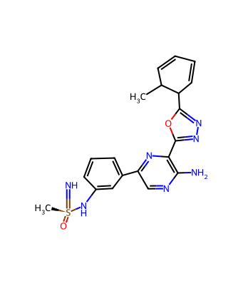 CC1C=CC=CC1c1nnc(-c2nc(-c3cccc(N[S@@](C)(=N)=O)c3)cnc2N)o1